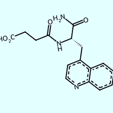 NC(=O)[C@H](Cc1ccnc2ccccc12)NC(=O)CCC(=O)O